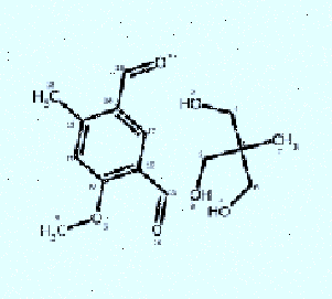 CC(CO)(CO)CO.COc1cc(C)c(C=O)cc1C=O